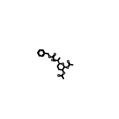 CC(=O)OC1CC[C@@H](C(C)NC(=O)OCc2ccccc2)OC1OC(C)=O